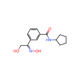 O=C(NC1CCCC1)c1cccc(/C(CO)=N\O)c1